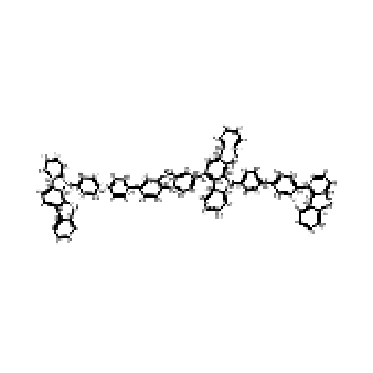 c1ccc2c(c1)oc1c2ccc2c3ccccc3n(-c3ccc(-c4ccc(-c5ccc6c(c5)sc5cc(-c7cc8c9ccccc9oc8c8c7c7ccccc7n8-c7ccc(-c8ccc(-c9cccc%10sc%11ccccc%11c9%10)cc8)cc7)ccc56)cc4)cc3)c21